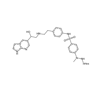 CCCCCCNN(C)c1ccc(S(=O)(=O)Nc2ccc(CCNCC(O)c3cnc4[nH]ccc4c3)cc2)cc1